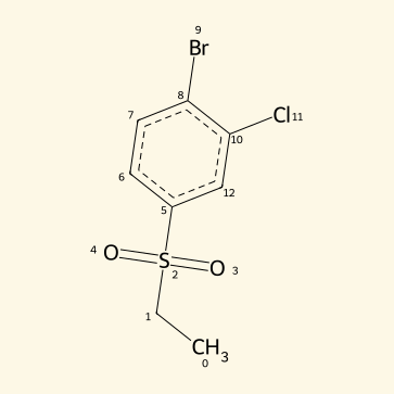 CCS(=O)(=O)c1ccc(Br)c(Cl)c1